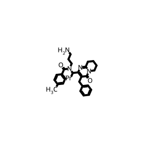 Cc1ccc(C(=O)N(CCCN)C(c2nc3n(c(=O)c2Cc2ccccc2)CCCC3)C(C)C)cc1